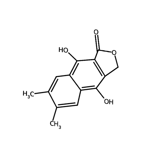 Cc1cc2c(O)c3c(c(O)c2cc1C)C(=O)OC3